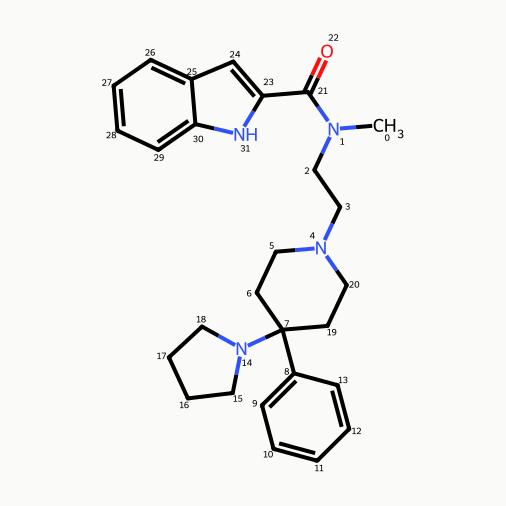 CN(CCN1CCC(c2ccccc2)(N2CCCC2)CC1)C(=O)c1cc2ccccc2[nH]1